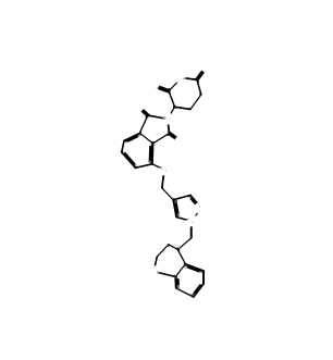 O=C1CCC(N2C(=O)c3cccc(NCc4cnn(CC5CCOc6ccccc65)c4)c3C2=O)C(=O)N1